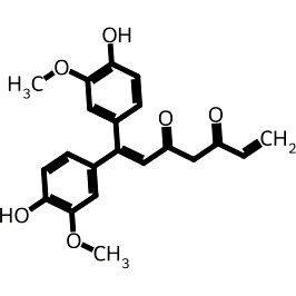 C=CC(=O)CC(=O)C=C(c1ccc(O)c(OC)c1)c1ccc(O)c(OC)c1